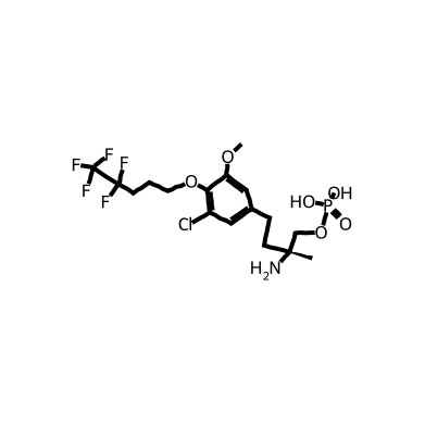 COc1cc(CC[C@@](C)(N)COP(=O)(O)O)cc(Cl)c1OCCCC(F)(F)C(F)(F)F